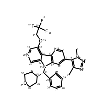 Cc1nnn(C)c1-c1cnc2c3c(OCC(F)(F)F)cncc3n([C@H](c3ccccc3)C3CCOCC3)c2c1